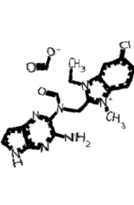 CCn1c(CN(C=O)c2nc3cc[nH]c3nc2N)[n+](C)c2ccc(Cl)cc21.O=C[O-]